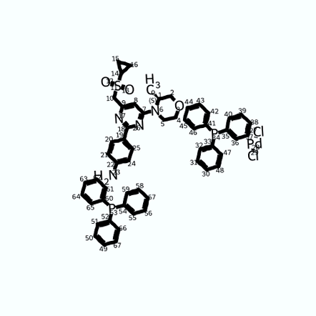 C[C@H]1COCCN1c1cc(CS(=O)(=O)C2CC2)nc(-c2ccc(N)cc2)n1.[Cl][Pd][Cl].c1ccc(P(c2ccccc2)c2ccccc2)cc1.c1ccc(P(c2ccccc2)c2ccccc2)cc1